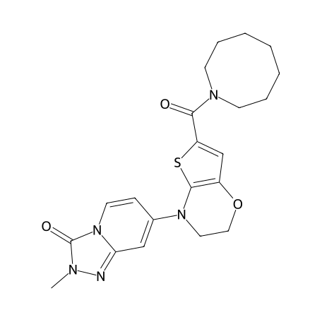 Cn1nc2cc(N3CCOc4cc(C(=O)N5CCCCCCC5)sc43)ccn2c1=O